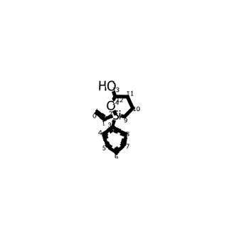 C=C[Si]1(c2ccccc2)CCCC(O)O1